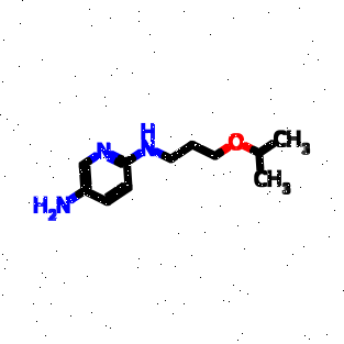 CC(C)OCCCNc1ccc(N)cn1